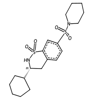 O=S1(=O)N[C@@H](C2CCCCC2)Cc2ccc(S(=O)(=O)N3CCCCC3)cc21